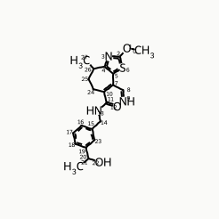 COc1nc2c(s1)C(C=N)=C(C(=O)NCc1cccc(C(C)O)c1)CCC2C